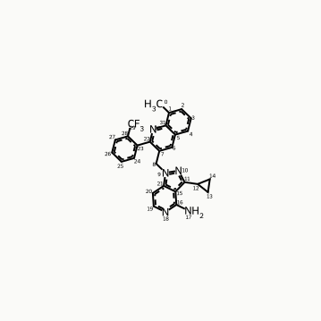 Cc1cccc2cc(Cn3nc(C4CC4)c4c(N)nccc43)c(-c3ccccc3C(F)(F)F)nc12